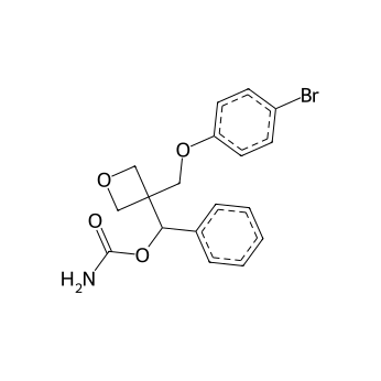 NC(=O)OC(c1ccccc1)C1(COc2ccc(Br)cc2)COC1